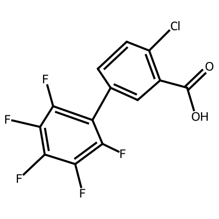 O=C(O)c1cc(-c2c(F)c(F)c(F)c(F)c2F)ccc1Cl